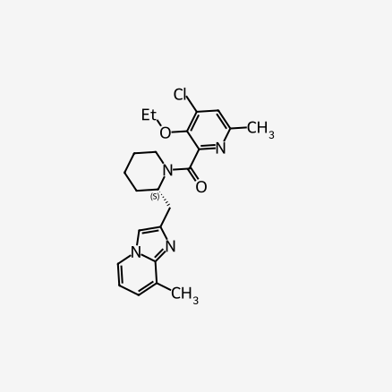 CCOc1c(Cl)cc(C)nc1C(=O)N1CCCC[C@H]1Cc1cn2cccc(C)c2n1